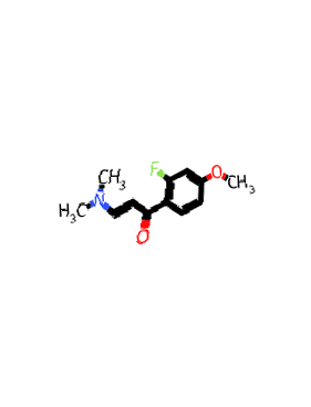 COc1ccc(C(=O)C=CN(C)C)c(F)c1